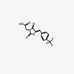 O=C(O)CN1C(=O)S/C(=C\c2ccc(C(F)(F)F)cc2)C1=O